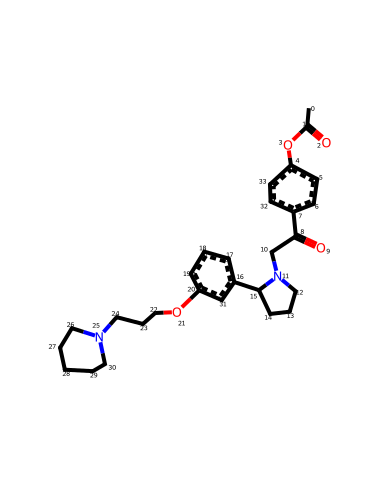 CC(=O)Oc1ccc(C(=O)CN2CCCC2c2cccc(OCCCN3CCCCC3)c2)cc1